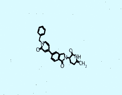 C=C1CCC(N2Cc3cc(-c4ccn(Cc5ccccc5)c(=O)c4)ccc3C2=O)C(=O)N1